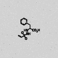 C=CS(=O)(=O)NNC(Cc1ccccc1)C(=O)O